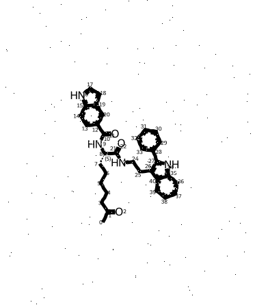 CC(=O)CCCCC[C@H](NC(=O)c1ccc2[nH]ccc2c1)C(=O)NCCc1c(-c2ccccc2)[nH]c2ccccc12